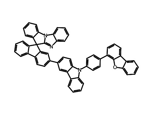 c1ccc2c(c1)-c1ccc(-c3ccc4c(c3)c3ccccc3n4-c3ccc(-c4cccc5c4oc4ccccc45)cc3)cc1C21c2ccccc2-n2c1nc1ccccc12